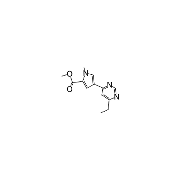 CCc1cc(-c2cc(C(=O)OC)n(C)c2)ncn1